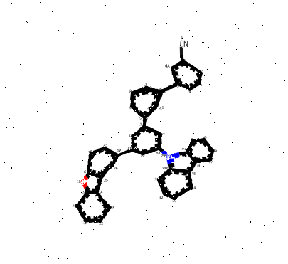 N#Cc1cccc(-c2cccc(-c3cc(-c4ccc5oc6ccccc6c5c4)cc(-n4c5ccccc5c5ccccc54)c3)c2)c1